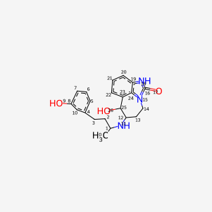 CC(CCc1cccc(O)c1)NC1CCn2c(=O)[nH]c3cccc(c32)C1O